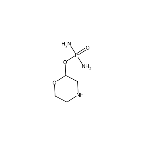 NP(N)(=O)OC1CNCCO1